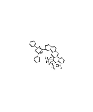 CC1(C)c2ccccc2-c2cc3ccc4ccc(-c5nc(-c6ccccc6)nc(-c6ccccc6)n5)cc4c3cc2C1(C)C